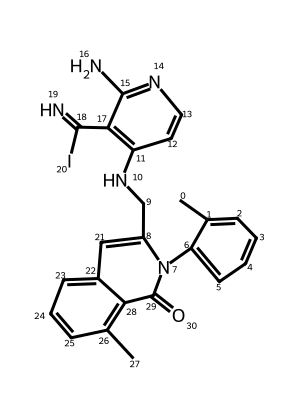 Cc1ccccc1-n1c(CNc2ccnc(N)c2C(=N)I)cc2cccc(C)c2c1=O